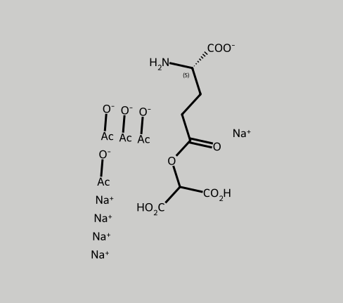 CC(=O)[O-].CC(=O)[O-].CC(=O)[O-].CC(=O)[O-].N[C@@H](CCC(=O)OC(C(=O)O)C(=O)O)C(=O)[O-].[Na+].[Na+].[Na+].[Na+].[Na+]